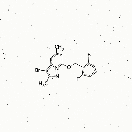 Cc1cc(OCc2c(F)cccc2F)n2nc(C)c(Br)c2c1